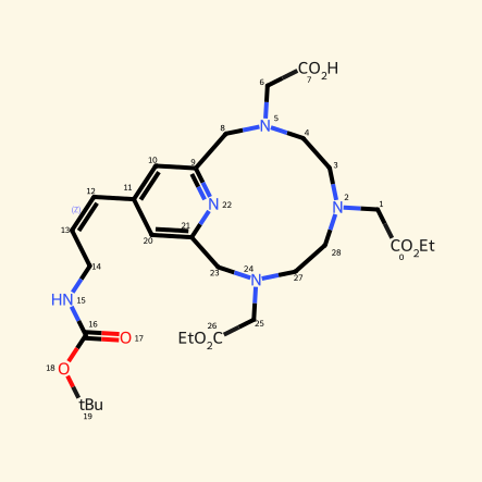 CCOC(=O)CN1CCN(CC(=O)O)Cc2cc(/C=C\CNC(=O)OC(C)(C)C)cc(n2)CN(CC(=O)OCC)CC1